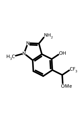 COC(c1ccc2c(c(N)nn2C)c1O)C(F)(F)F